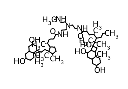 CCCC([C@H](C)CCC(=O)NCCN(CCNC)CCNC(=O)CC[C@@H](C)C1CCC(C)[C@@]1(C)CCC1CC(O)CC2CC(O)CCC12C)C(C)(C)C1(O)CC2C1C(O)CC1CC(O)CCC12C